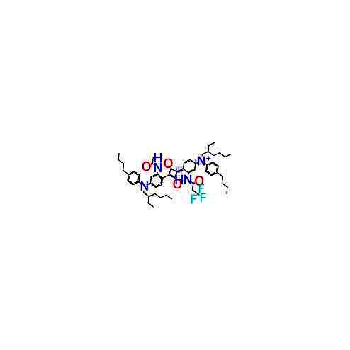 CCCCc1ccc(N(CC(CC)CCCC)c2ccc(C3=C([O-])/C(=C4C=C/C(=[N+](\CC(CC)CCCC)c5ccc(CCCC)cc5)C=C/4NC(=O)CC(F)(F)F)C3=O)c(NC(C)=O)c2)cc1